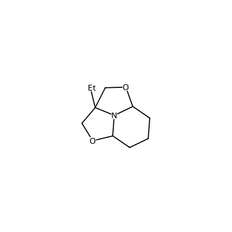 CCC12COC3CCCC(OC1)N32